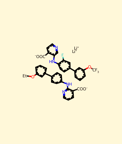 CCOc1cccc(-c2ccc(Nc3ncccc3C(=O)[O-])cc2)c1.O=C([O-])c1ccncc1Nc1ccc(-c2cccc(OC(F)(F)F)c2)cc1F.[Li+].[Li+]